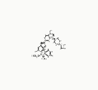 Cc1cc2nc(-c3ccc4c(c3)c(N3CCC(C5CCC5)CC3)nn4C)sc2c(-c2ccc(Cl)cc2)c1[C@H](OC(C)(C)C)C(=O)O